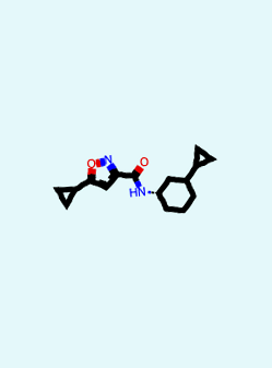 O=C(N[C@H]1CCCC(C2CC2)C1)c1cc(C2CC2)on1